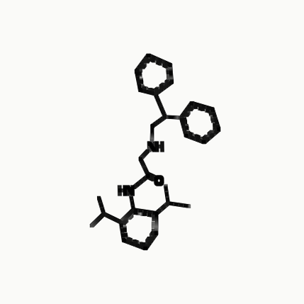 CC(C)c1cccc(C(C)C)c1NC(=O)CNCC(c1ccccc1)c1ccccc1